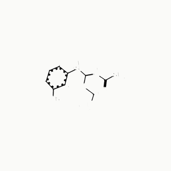 N#Cc1cccc(NC(OC(N)=O)SCC=O)c1